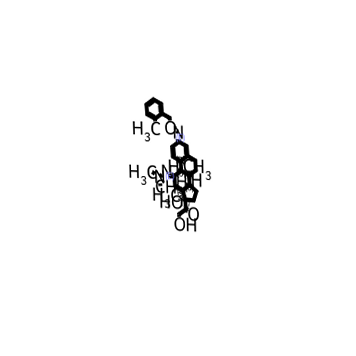 Cc1ccccc1CO/N=C1\C=C[C@@]2(C)C(=C1)CC[C@@H]1[C@@H]2/C(=N/N(C)C)C[C@@]2(C)[C@H]1CC[C@]2(O)C(=O)CO